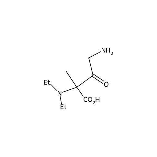 CCN(CC)C(C)(C(=O)O)C(=O)CN